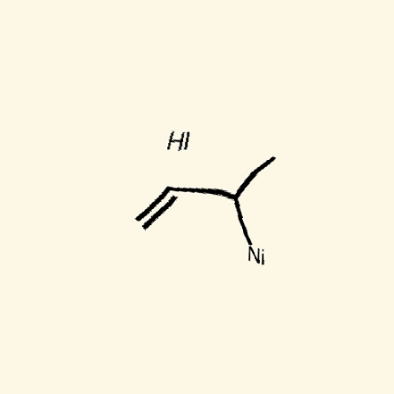 C=C[CH](C)[Ni].I